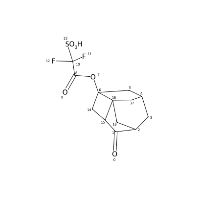 O=C1C2CC3CC4(OC(=O)C(F)(F)S(=O)(=O)O)CC1C4(C3)C2